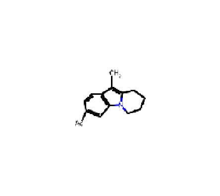 CC(=O)c1ccc2c(C)c3n(c2c1)CCCC3